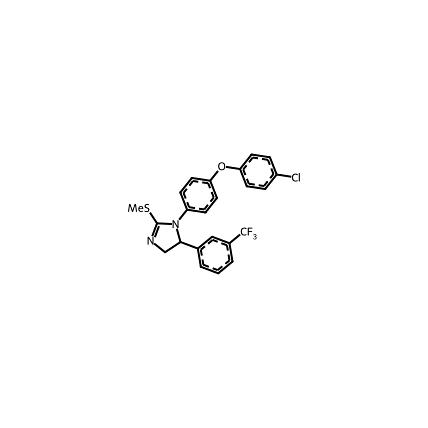 CSC1=NCC(c2cccc(C(F)(F)F)c2)N1c1ccc(Oc2ccc(Cl)cc2)cc1